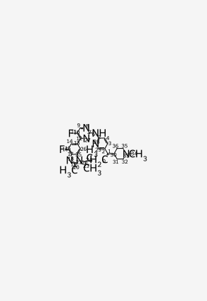 C=C(c1ccc(Nc2ncc(F)c(-c3cc(F)c4nc(C)n(C(C)C)c4c3)n2)nc1)C1CCN(C)CC1